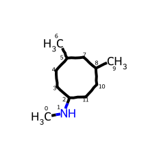 CNC1CCC(C)CC(C)CC1